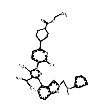 CCOC(=O)C1CCC(c2ccc(-n3nc(-c4cccc5nn(C[S+]([O-])c6ccccc6)cc45)c(C(C)C)c3C)c(C)n2)CC1